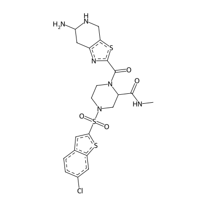 CNC(=O)C1CN(S(=O)(=O)c2cc3ccc(Cl)cc3s2)CCN1C(=O)c1nc2c(s1)CNC(N)C2